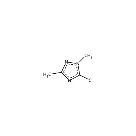 Cc1nc(Cl)n(C)n1